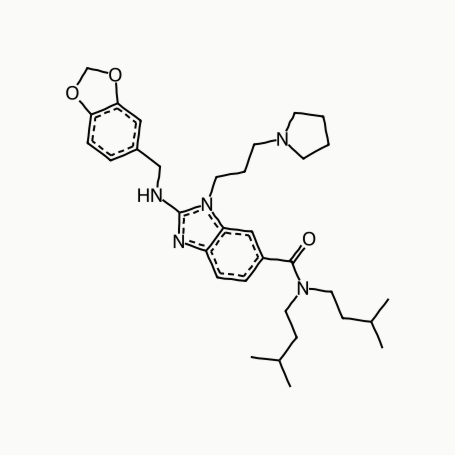 CC(C)CCN(CCC(C)C)C(=O)c1ccc2nc(NCc3ccc4c(c3)OCO4)n(CCCN3CCCC3)c2c1